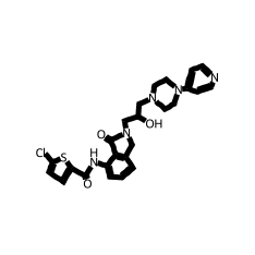 O=C(Nc1cccc2c1C(=O)N(CC(O)CN1CCN(c3ccncc3)CC1)C2)c1ccc(Cl)s1